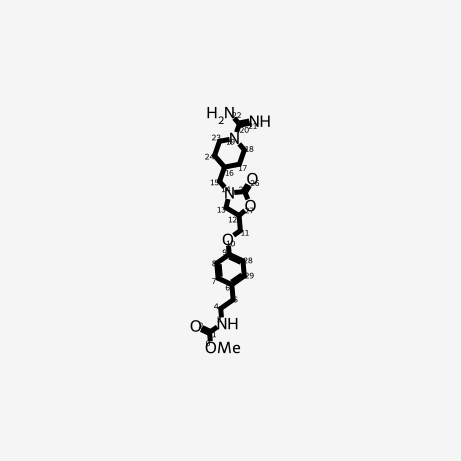 COC(=O)NCCc1ccc(OCC2CN(CC3CCN(C(=N)N)CC3)C(=O)O2)cc1